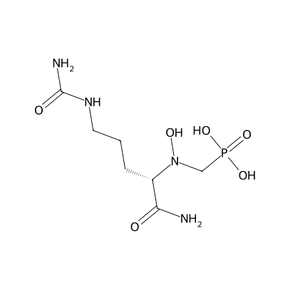 NC(=O)NCCC[C@@H](C(N)=O)N(O)CP(=O)(O)O